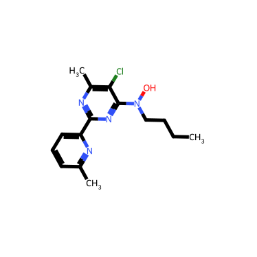 CCCCN(O)c1nc(-c2cccc(C)n2)nc(C)c1Cl